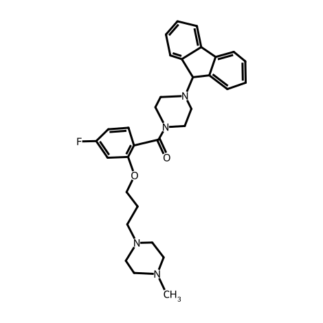 CN1CCN(CCCOc2cc(F)ccc2C(=O)N2CCN(C3c4ccccc4-c4ccccc43)CC2)CC1